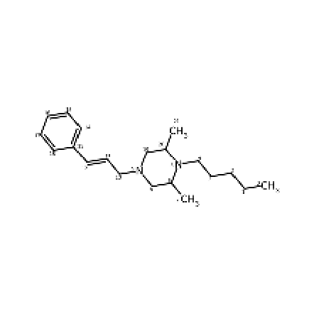 CCCCCN1C(C)CN(C/C=C/c2ccccc2)CC1C